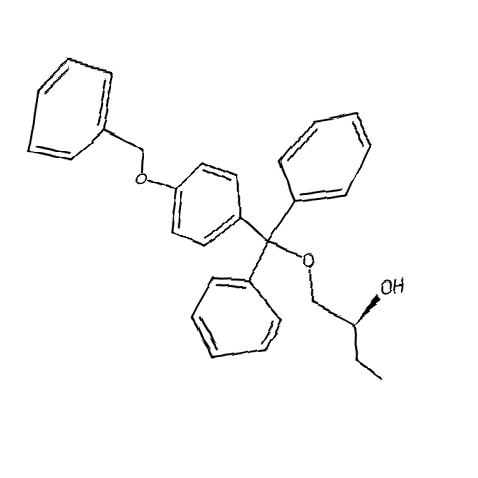 CC[C@H](O)COC(c1ccccc1)(c1ccccc1)c1ccc(OCc2ccccc2)cc1